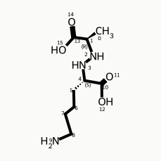 C[C@@H](NN[C@@H](CCCCN)C(=O)O)C(=O)O